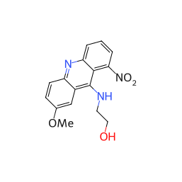 COc1ccc2nc3cccc([N+](=O)[O-])c3c(NCCO)c2c1